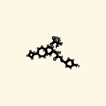 O=C(/C=C/c1ccc(F)cc1)Nc1ccc2c(c1)CCN(C1CCC1)CC2.O=C(O)C(F)(F)F